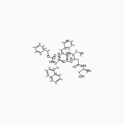 CCC(C)[C@@H](CO)NC(=O)CC(O)C(CC(C)C)NC(=O)[C@H](Cc1cccnc1)NC(=O)[C@H](Cc1cccc2ccccc12)NC(=O)OCc1ccccc1